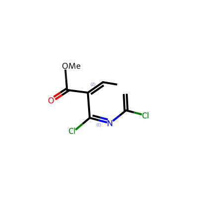 C=C(Cl)/N=C(Cl)\C(=C/C)C(=O)OC